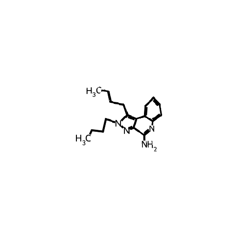 CCCCc1c2c(nn1CCCC)c(N)nc1ccccc12